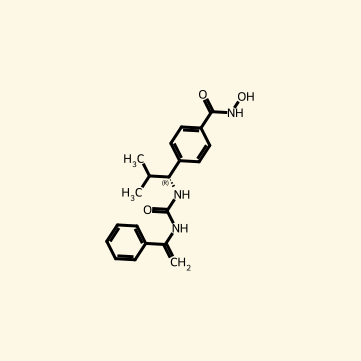 C=C(NC(=O)N[C@@H](c1ccc(C(=O)NO)cc1)C(C)C)c1ccccc1